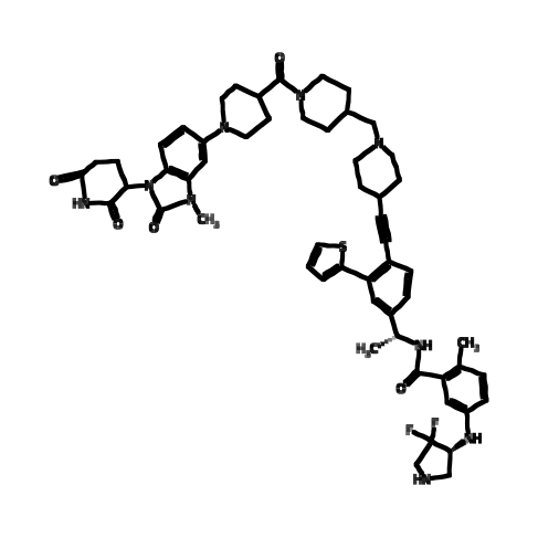 Cc1ccc(N[C@H]2CNCC2(F)F)cc1C(=O)N[C@H](C)c1ccc(C#CC2CCN(CC3CCN(C(=O)C4CCN(c5ccc6c(c5)n(C)c(=O)n6C5CCC(=O)NC5=O)CC4)CC3)CC2)c(-c2cccs2)c1